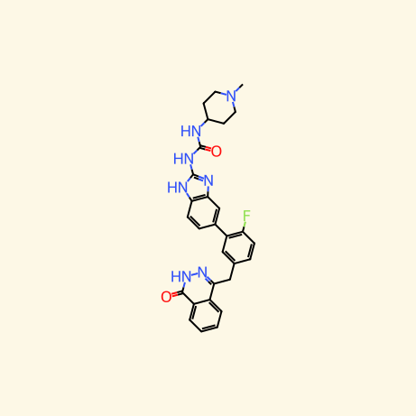 CN1CCC(NC(=O)Nc2nc3cc(-c4cc(Cc5n[nH]c(=O)c6ccccc56)ccc4F)ccc3[nH]2)CC1